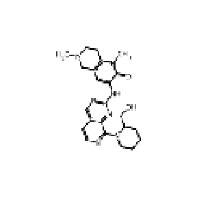 CN1CCc2c(cc(Nc3ncc4ccnc(N5CCCCC5CO)c4n3)c(=O)n2C)C1